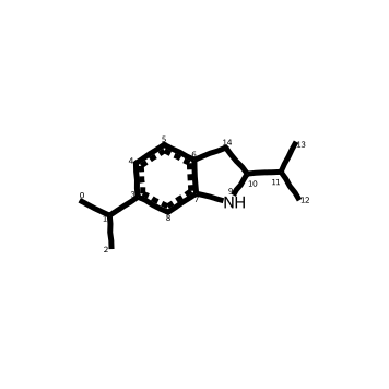 CC(C)c1ccc2c(c1)NC(C(C)C)C2